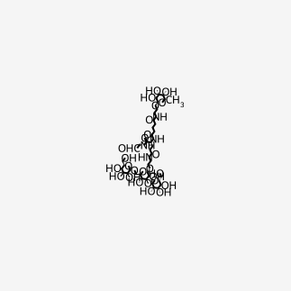 C[C@@H]1O[C@@H](OCCNC(=O)CCCC(=O)N[C@@H](CCC(=O)NCCO[C@H]2O[C@H](CO[C@H]3O[C@H](CO)[C@@H](O)[C@H](O)[C@@H]3O)[C@@H](O)[C@H](O[C@H]3O[C@H](CO)[C@@H](O)[C@H](O)[C@@H]3O)[C@@H]2O)C(=O)NCC=O)[C@@H](O)[C@H](O)[C@@H]1O